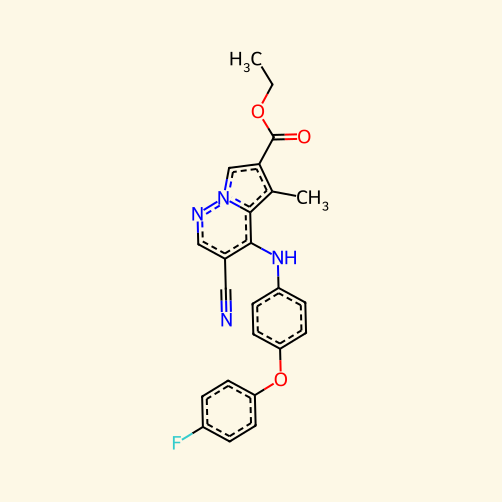 CCOC(=O)c1cn2ncc(C#N)c(Nc3ccc(Oc4ccc(F)cc4)cc3)c2c1C